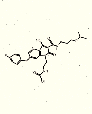 CC(C)OCCCNC(=O)c1c(O)c2ncc(Cc3ccc(F)cc3)cc2n(CCNC(=O)O)c1=O